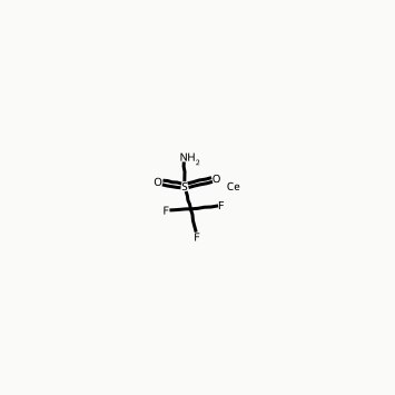 NS(=O)(=O)C(F)(F)F.[Ce]